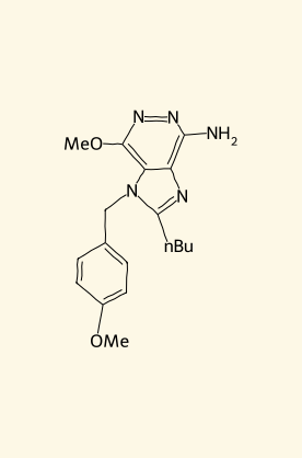 CCCCc1nc2c(N)nnc(OC)c2n1Cc1ccc(OC)cc1